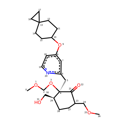 COCO[C@@]1(Cc2cc(OC3CCC4(CC3)CC4)ccn2)C(=O)C(COC)CC[C@H]1CO